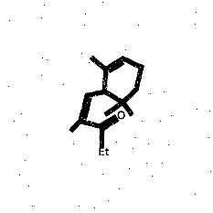 CCC(=O)C(C)=CC1C(C)=CCCC1(C)C